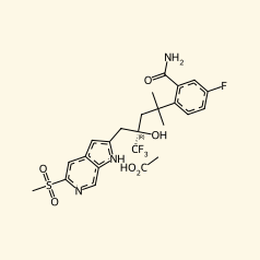 CC(=O)O.CC(C)(C[C@@](O)(Cc1cc2cc(S(C)(=O)=O)ncc2[nH]1)C(F)(F)F)c1ccc(F)cc1C(N)=O